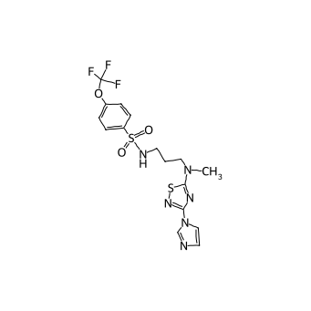 CN(CCCNS(=O)(=O)c1ccc(OC(F)(F)F)cc1)c1nc(-n2ccnc2)ns1